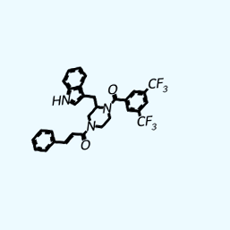 O=C(C=Cc1ccccc1)N1CCN(C(=O)c2cc(C(F)(F)F)cc(C(F)(F)F)c2)C(Cc2c[nH]c3ccccc23)C1